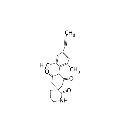 CC#Cc1cc(C)c(C2C(=O)CC3(CCCNC3=O)CC2=O)c(C)c1